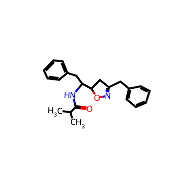 CC(C)C(=O)NC(Cc1ccccc1)C1CC(Cc2ccccc2)=NO1